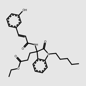 CCCCCN1C(=O)C(CCC(=O)OCC)(NC(=O)C=Cc2cccc(O)c2)c2ccccc21